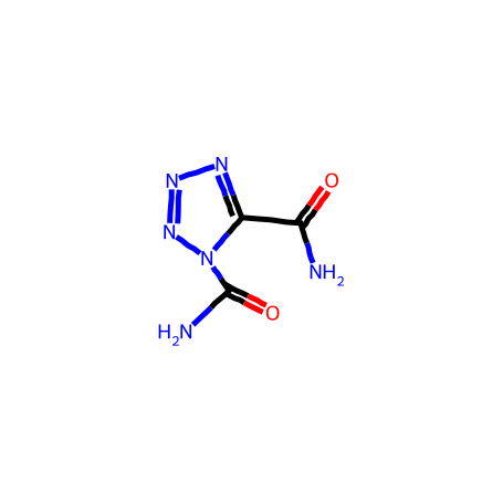 NC(=O)c1nnnn1C(N)=O